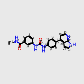 CC(C)NC(=O)c1cccc(NC(=O)Nc2ccc(-c3ccnc4[nH]ccc34)cc2)c1